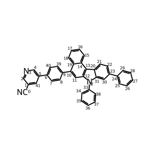 N#Cc1cncc(-c2ccc(-c3cc4c(c5ccccc35)c3ccc(-c5ccccc5)cc3n4-c3ccccc3)cc2)c1